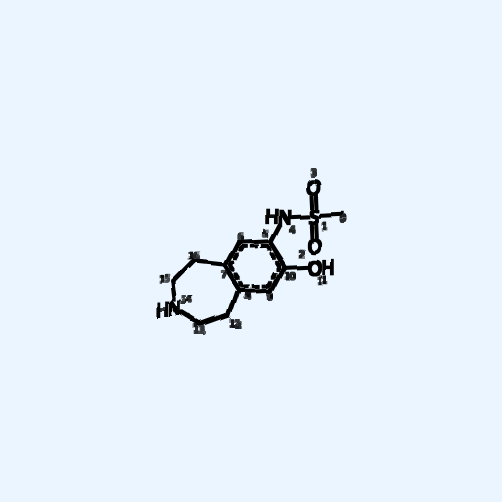 CS(=O)(=O)Nc1cc2c(cc1O)CCNCC2